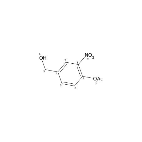 CC(=O)Oc1ccc(CO)cc1[N+](=O)[O-]